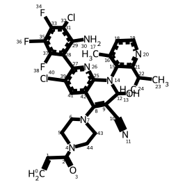 C=CC(=O)N1CCN(C2=C(C#N)C(O)N(c3c(C)ccnc3C(C)C)c3nc(-c4c(N)c(Cl)c(F)c(F)c4F)c(Cl)cc32)CC1